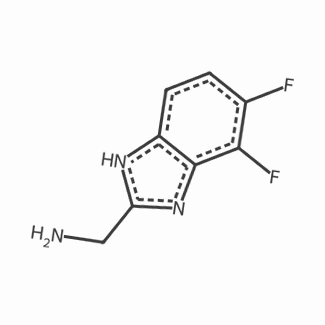 NCc1nc2c(F)c(F)ccc2[nH]1